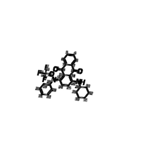 O=C1c2ccccc2C(=O)c2c(N(OC(F)(F)F)c3ccccc3)ccc(NC3CCCCC3)c21